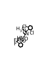 Cn1cc(C(=O)NS(=O)(=O)c2ccccc2C(F)(F)F)nc1-c1c(Cl)cccc1Cl